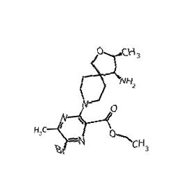 CCOC(=O)c1nc(Br)c(C)nc1N1CCC2(CC1)CO[C@@H](C)[C@H]2N